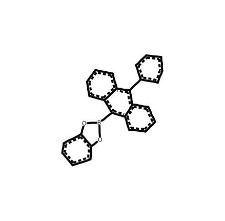 c1ccc(-c2c3ccccc3c(B3Oc4ccccc4O3)c3ccccc23)cc1